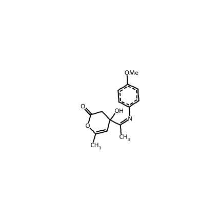 COc1ccc(N=C(C)C2(O)C=C(C)OC(=O)C2)cc1